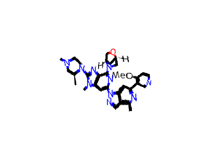 COc1ccncc1-c1cc2c(cnn2-c2cc3c(nc(N4CCN(C)C[C@@H]4C)n3C)c(N3C[C@H]4C[C@@H]3CO4)n2)c(C)n1